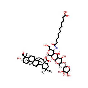 CC1O[C@@H](OC2C(O)[C@@H](NC(=O)CCCCCCCCCCC(=O)O)C(CO)O[C@H]2OC(=O)[C@]23CCC(C)(C)CC2C2=CC[C@@H]4C5(C)CC[C@H](O)C(C)(C=O)C5CCC4(C)C2(C)CC3O)C(CO)C(O)[C@H]1O[C@H]1CC(O)(O)[C@H](O)CO1